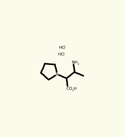 CC(N)C(C(=O)O)N1CCCC1.Cl.Cl